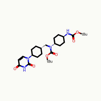 CC(C)(C)OC(=O)N[C@H]1CC[C@H](N(C[C@H]2CC[C@H](n3ccc(=O)[nH]c3=O)CC2)C(=O)OC(C)(C)C)CC1